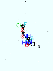 Cc1cc(=O)[nH]c(-c2c(C(F)(F)F)ccc(CNC(=O)[C@H]3C[C@H](OCc4cc(F)cc(Cl)c4)C3)c2F)n1